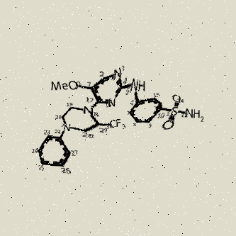 COc1cnc(Nc2cccc(S(N)(=O)=O)c2)nc1N1CCN(c2ccccc2)CC1C(F)(F)F